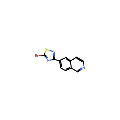 Brc1nc(-c2ccc3cnccc3c2)ns1